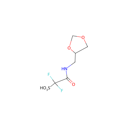 O=C(NCC1COCO1)C(F)(F)S(=O)(=O)O